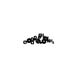 COC[C@@H]1CN(Cc2ccc3c(N)ncnc3c2)CCN1C(=O)COc1ccc(Cl)cc1Cl